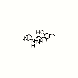 CCc1cc(C)c(-c2ccc(N[C@@H]3CCCN(C)C3)nn2)c(O)c1